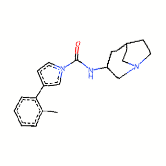 Cc1ccccc1-c1ccn(C(=O)NC2CC3CCN(C3)C2)c1